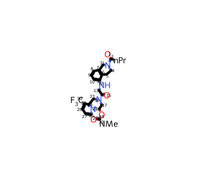 CCCC(=O)N1CCc2c(cccc2NCC(=O)N(CCOC(=O)NC)Cc2ncccc2C(F)(F)F)C1